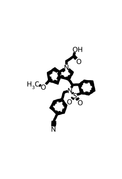 COc1ccc2c(c1)c(C1c3ccccc3S(=O)(=O)N1Cc1ccc(C#N)cc1)cn2CC(=O)O